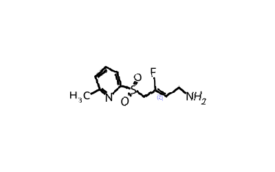 Cc1cccc(S(=O)(=O)C/C(F)=C/CN)n1